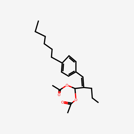 CCCCCCc1ccc(C=C(CCC)C(OC(C)=O)OC(C)=O)cc1